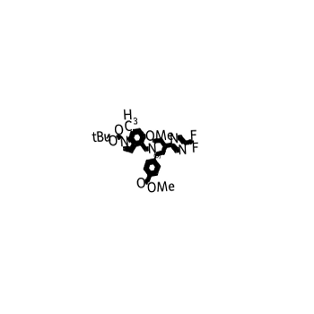 COC(=O)c1ccc([C@@H]2CC(c3cnc(C(F)F)cn3)CCN2Cc2c(OC)cc(C)c3c2ccn3C(=O)OC(C)(C)C)cc1